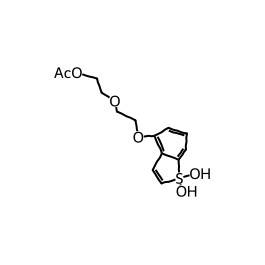 CC(=O)OCCOCCOc1cccc2c1C=CS2(O)O